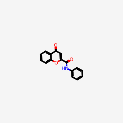 O=C(Nc1ccccc1)c1cc(=O)c2ccccc2o1